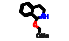 COCOC1NCCc2ccccc21